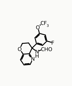 O=CNC1(c2cc(F)cc(OC(F)(F)F)c2)CCOc2cccnc21